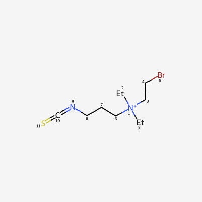 CC[N+](CC)(CCBr)CCCN=C=S